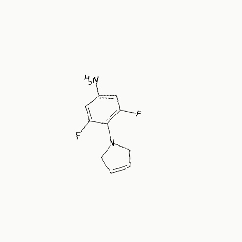 Nc1cc(F)c(N2CC=CC2)c(F)c1